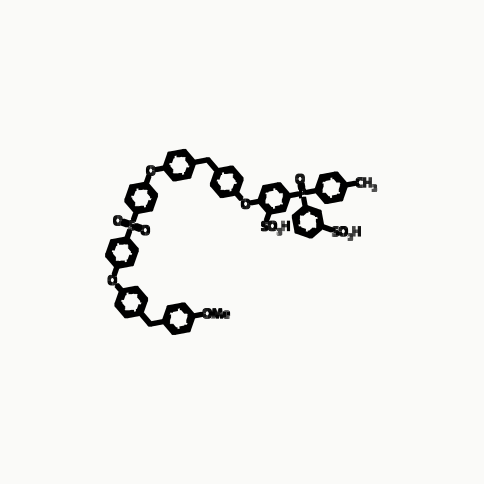 COc1ccc(Cc2ccc(Oc3ccc(S(=O)(=O)c4ccc(Oc5ccc(Cc6ccc(Oc7ccc(P(=O)(c8ccc(C)cc8)c8cccc(S(=O)(=O)O)c8)cc7S(=O)(=O)O)cc6)cc5)cc4)cc3)cc2)cc1